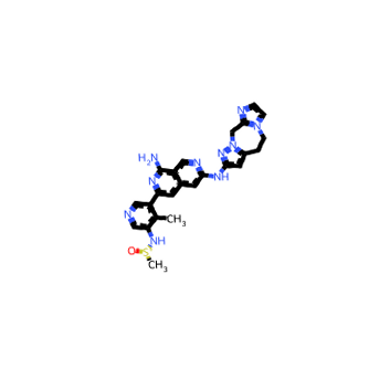 Cc1c(N[S+](C)[O-])cncc1-c1cc2cc(Nc3cc4n(n3)Cc3nccn3CC4)ncc2c(N)n1